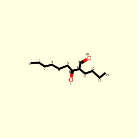 CCCCCCC(=O)C(C=O)CCCC